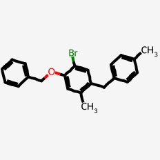 Cc1ccc(Cc2cc(Br)c(OCc3ccccc3)cc2C)cc1